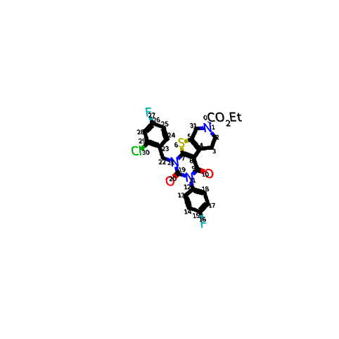 CCOC(=O)N1CCc2c(sc3c2c(=O)n(-c2ccc(F)cc2)c(=O)n3Cc2ccc(F)cc2Cl)C1